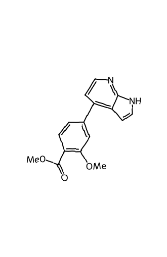 COC(=O)c1ccc(-c2ccnc3[nH]ccc23)cc1OC